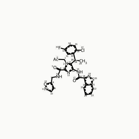 CC(=O)Cn1c(C(=O)NCc2ccno2)nc(NC(=O)c2nsc3ccccc23)c1[C@H](C)c1cc(F)ccc1Cl